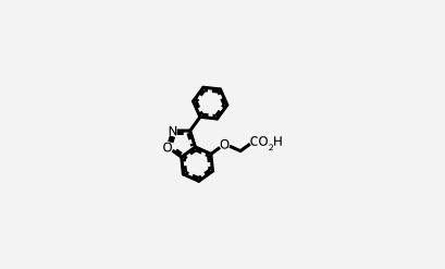 O=C(O)COc1cccc2onc(-c3ccccc3)c12